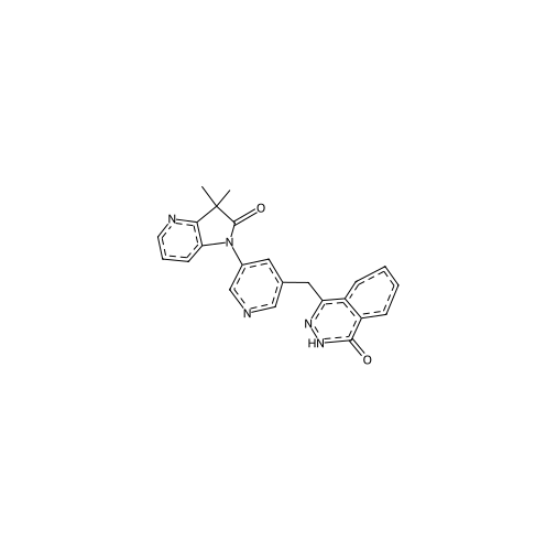 CC1(C)C(=O)N(c2cncc(Cc3n[nH]c(=O)c4ccccc34)c2)c2cccnc21